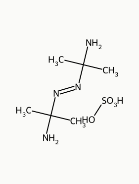 CC(C)(N)N=NC(C)(C)N.O=S(=O)(O)O